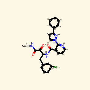 CONC(=O)C(=O)C(Cc1cccc(F)c1)NC(=O)c1cccnc1-n1ccc(-c2ccccc2)n1